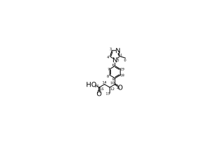 Cc1nccn1-c1ccc(C(=O)C(C)CC(=O)O)cc1